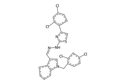 Clc1ccc(Cn2cc(/C=N\Nc3nc(-c4ccc(Cl)cc4Cl)cs3)c3ccccc32)c(Cl)c1